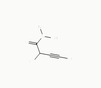 CC#CC(C(=O)N(N)O)C(C)C